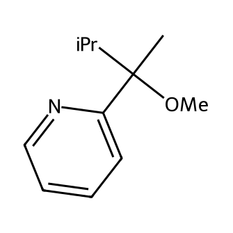 COC(C)(c1ccccn1)C(C)C